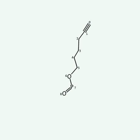 C#CCCCCOP=O